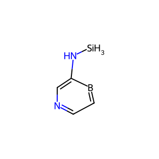 [SiH3]Nc1bccnc1